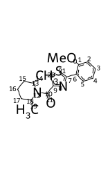 COc1ccccc1-c1nc(C(=O)N2C(C)CCCC2C)cs1